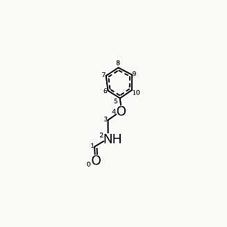 O=CNCOc1ccccc1